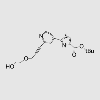 CC(C)(C)OC(=O)c1csc(-c2ccnc(C#CCOCCO)c2)n1